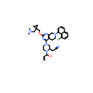 C=CC(O)N1CCN(c2nc(OCC3(CN(C)C)CC3)nc3c2CCN(c2cccc4cccc(Cl)c24)C3)CC1CC#N